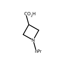 CCCN1CC(C(=O)O)C1